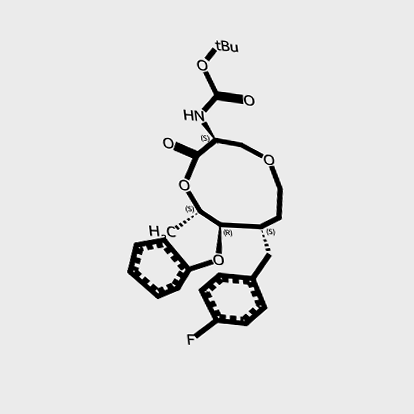 C[C@@H]1OC(=O)[C@@H](NC(=O)OC(C)(C)C)COCC[C@H](Cc2ccc(F)cc2)[C@H]1Oc1ccccc1